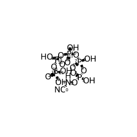 N#CNOP(=O)(O)OP(=O)(O)OP(=O)(O)OP(=O)(O)OP(=O)(O)O